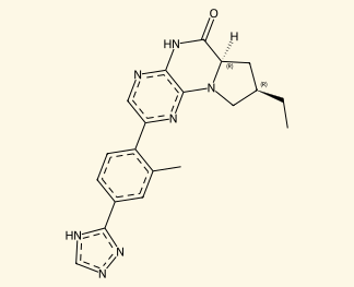 CC[C@@H]1C[C@@H]2C(=O)Nc3ncc(-c4ccc(-c5nnc[nH]5)cc4C)nc3N2C1